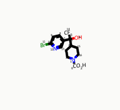 O=C(O)N1CCC(C(O)(c2ccc(Br)nc2)C(F)(F)F)CC1